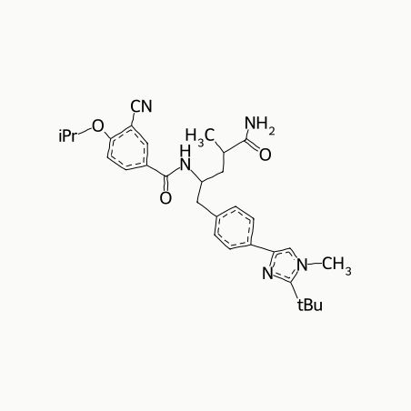 CC(C)Oc1ccc(C(=O)NC(Cc2ccc(-c3cn(C)c(C(C)(C)C)n3)cc2)CC(C)C(N)=O)cc1C#N